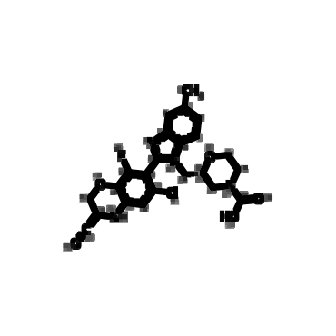 Cc1ccc2c(c1)nc(-c1c(Cl)cc3c(c1F)OCC(=C=O)N3)n2C[C@H]1CN(C(=O)O)CCO1